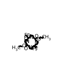 CCCOC(=O)C1=C2C=CC(=N2)C(C(F)(F)F)=C2C=CC(=N2)C(C(=O)OCCC)=C2C=CC(=N2)C(C(F)(F)F)=C2C=CC1=N2